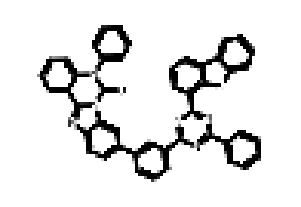 O=c1n(-c2ccccc2)c2ccccc2c2nc3ccc(-c4cccc(-c5nc(-c6ccccc6)nc(-c6cccc7c6sc6ccccc67)n5)c4)cc3n12